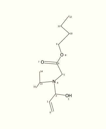 C=CC(O)N(CC(=O)OCCCC)C(C)C